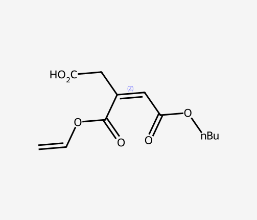 C=COC(=O)/C(=C\C(=O)OCCCC)CC(=O)O